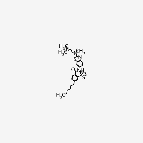 CCCCCCc1ccc(C(=O)Nc2ccc3nc(N(C)CCN(C)C)sc3c2)c(C2=NCCS2)c1